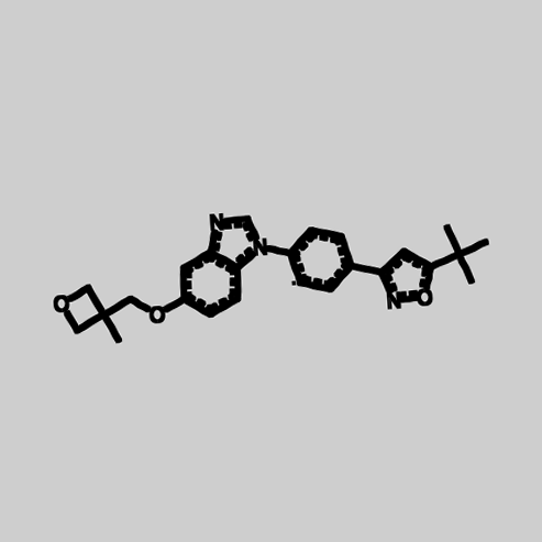 CC1(COc2ccc3c(c2)ncn3-c2[c]cc(-c3cc(C(C)(C)C)on3)cc2)COC1